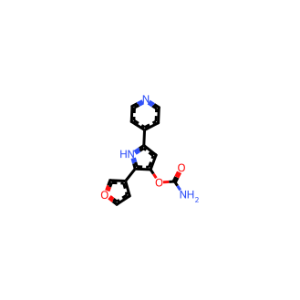 NC(=O)Oc1cc(-c2ccncc2)[nH]c1-c1ccoc1